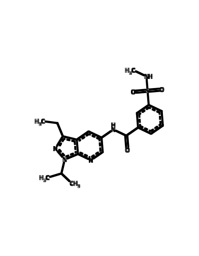 CCc1nn(C(C)C)c2ncc(NC(=O)c3cccc(S(=O)(=O)NC)c3)cc12